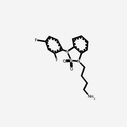 NCCCCN1c2ccccc2N(c2ccc(F)cc2F)S1(=O)=O